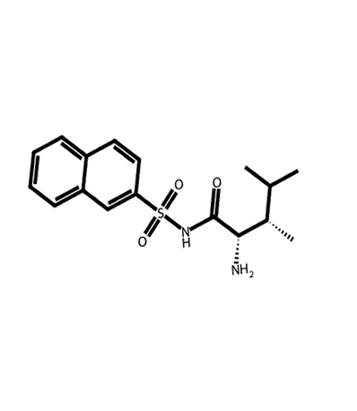 CC(C)[C@H](C)[C@H](N)C(=O)NS(=O)(=O)c1ccc2ccccc2c1